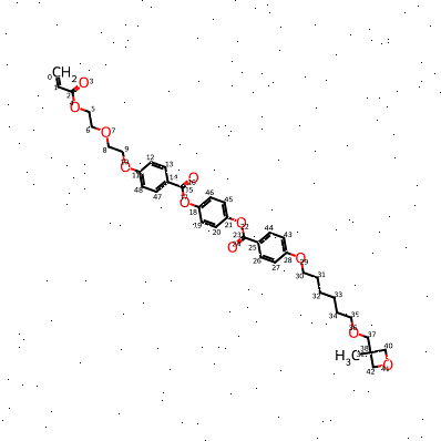 C=CC(=O)OCCOCCOc1ccc(C(=O)Oc2ccc(OC(=O)c3ccc(OCCCCCCOCC4(C)COC4)cc3)cc2)cc1